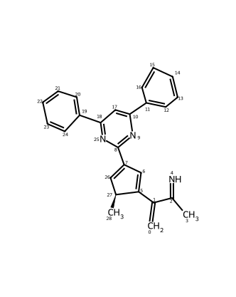 C=C(C(C)=N)C1=CC(c2nc(-c3ccccc3)cc(-c3ccccc3)n2)=C[C@@H]1C